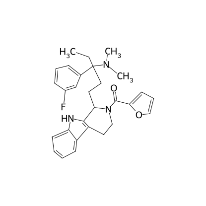 CCC(CCC1c2[nH]c3ccccc3c2CCN1C(=O)c1ccco1)(c1cccc(F)c1)N(C)C